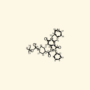 Cc1c2c(=O)n(-c3ccccc3)n(C(=O)C3CCN(C(=O)OC(C)(C)C)CC3)c2cc(=O)n1Cc1cccnc1